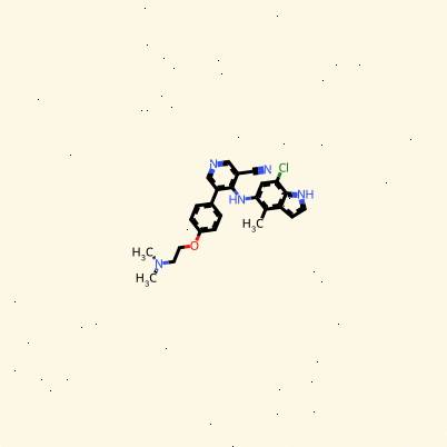 Cc1c(Nc2c(C#N)cncc2-c2ccc(OCCN(C)C)cc2)cc(Cl)c2[nH]ccc12